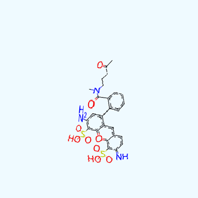 CC(=O)CCCN(C)C(=O)c1ccccc1-c1cc(N)c(S(=O)(=O)O)c2oc3c(S(=O)(=O)O)c(=N)ccc-3cc12